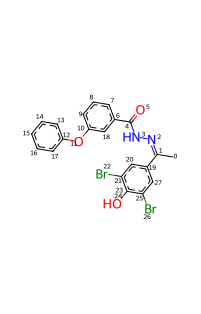 CC(=NNC(=O)c1cccc(Oc2ccccc2)c1)c1cc(Br)c(O)c(Br)c1